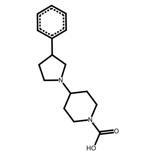 O=C(O)N1CCC(N2CCC(c3ccccc3)C2)CC1